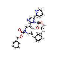 O=C(OCc1ccccc1)N1CCCC(c2ncc(-c3ccccn3)n2C2OC=C(Cc3ccccc3)O2)C1